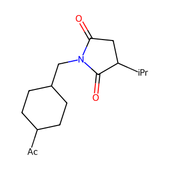 CC(=O)C1CCC(CN2C(=O)CC(C(C)C)C2=O)CC1